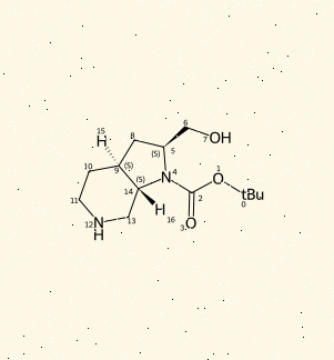 CC(C)(C)OC(=O)N1[C@H](CO)C[C@@H]2CCNC[C@H]21